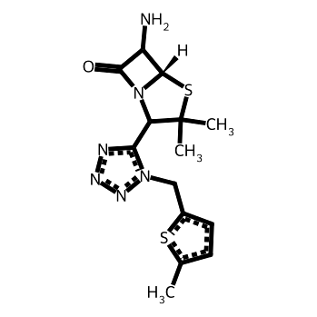 Cc1ccc(Cn2nnnc2C2N3C(=O)C(N)[C@@H]3SC2(C)C)s1